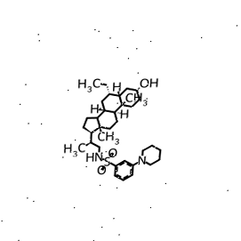 CC[C@H]1C[C@H]2C3CC[C@H]([C@H](C)CNS(=O)(=O)c4cccc(N5CCCCC5)c4)[C@@]3(C)CC[C@@H]2[C@@]2(C)CC[C@@H](O)C[C@@H]12